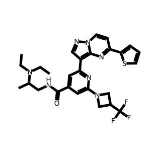 CCN(CC)C(C)CNC(=O)c1cc(-c2cnn3ccc(-c4cccs4)nc23)nc(N2CC(C(F)(F)F)C2)c1